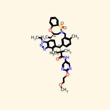 CC[C@@H]1CN(Cc2cc([C@@H](c3ccc4c(nnn4CC)c3C)C(C)(C)C(=O)Nc3cnc(OCCOC)nc3)ccc2C)S(=O)(=O)c2ccccc2O1